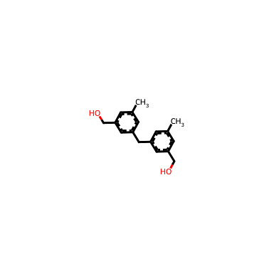 Cc1cc(CO)cc(Cc2cc(C)cc(CO)c2)c1